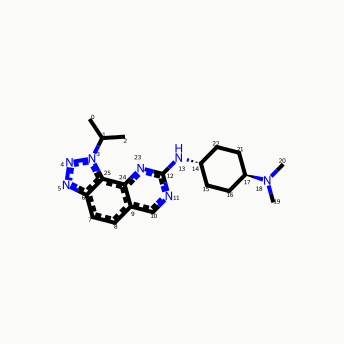 CC(C)n1nnc2ccc3cnc(N[C@H]4CC[C@H](N(C)C)CC4)nc3c21